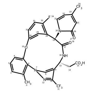 Cc1cccc2c1-n1cc(c(C(F)(F)F)n1)[C@@H](CC(=O)O)NC(=O)[C@H](n1ccc(C(F)(F)F)cc1=O)c1cc(ccc1F)O2